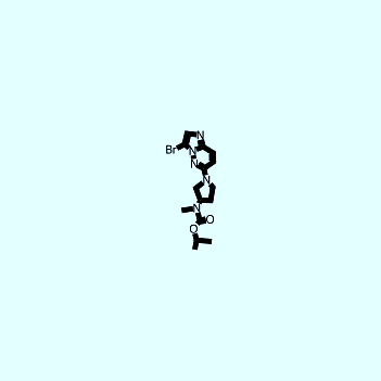 CC(C)OC(=O)N(C)C1CCN(c2ccc3ncc(Br)n3n2)C1